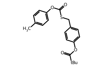 Cc1ccc(OC(=O)SCc2ccc(OC(=O)C(C)(C)C)cc2)cc1